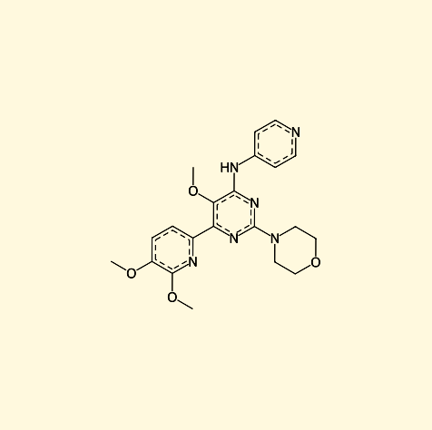 COc1ccc(-c2nc(N3CCOCC3)nc(Nc3ccncc3)c2OC)nc1OC